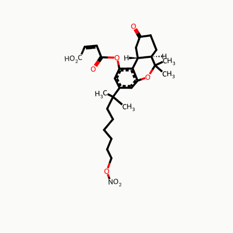 CC(C)(CCCCCCO[N+](=O)[O-])c1cc(OC(=O)/C=C\C(=O)O)c2c(c1)OC(C)(C)[C@@H]1CCC(=O)C[C@@H]21